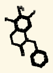 O=C1CCc2c(cc(F)c([N+](=O)[O-])c2F)N1Cc1ccccc1